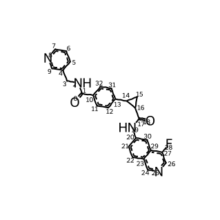 O=C(NCc1cccnc1)c1ccc(C2CC2C(=O)Nc2ccc3cncc(F)c3c2)cc1